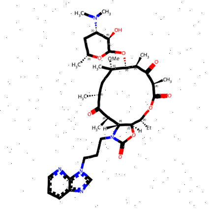 CC[C@H]1OC(=O)[C@H](C)C(=O)[C@H](C)[C@@H](OC2O[C@H](C)C[C@H](N(C)C)[C@H]2O)[C@@](C)(OC)C[C@@H](C)C(=O)[C@H](C)[C@@H]2[C@@H]1OC(=O)N2CCCn1cnc2cccnc21